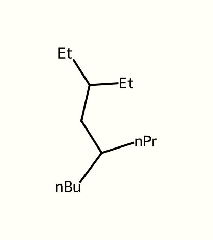 CCCCC(CCC)CC(CC)CC